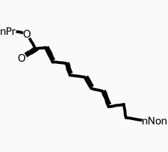 CCCCCCCCCCC/C=C/C=C/C=C/C=C/C(=O)OCCC